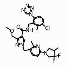 COCc1nn(Cc2ccc(N3CC(C)C(F)(F)C3)nc2C)cc1C(=O)NCc1c(-n2cnnn2)ccc(Cl)c1F